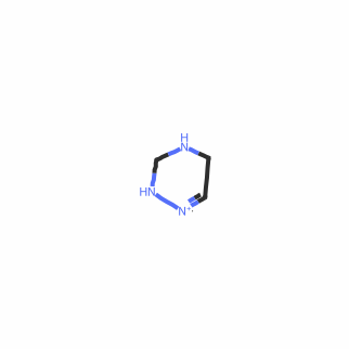 C1=[N+]NCNC1